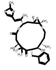 CC(=Cc1csc(C)n1)[C@@H]1C[C@H]2O[C@@]2(C)CCC[C@H](C)[C@@H](O)[C@H](Cc2ccccc2)C(=O)C(C)(C)[C@@H](O)CC(=O)O1